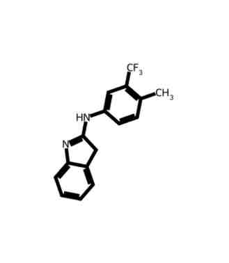 Cc1ccc(NC2=Nc3ccccc3C2)cc1C(F)(F)F